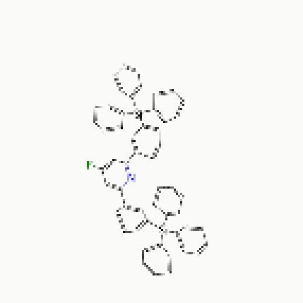 Fc1cc(-c2cccc([Si](c3ccccc3)(c3ccccc3)c3ccccc3)c2)nc(-c2cccc([Si](c3ccccc3)(c3ccccc3)c3ccccc3)c2)c1